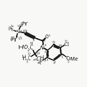 COc1cc(F)c(N(C(=O)C#C[Si](C(C)C)(C(C)C)C(C)C)C(C)(C)C(=O)O)cc1Cl